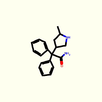 CC1CC(C(C(N)=O)(c2ccccc2)c2ccccc2)CN1